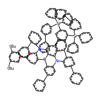 CC(C)(C)c1cc(-c2ccc3c(c2)N(c2ccccc2-c2ccccc2)c2cc(-c4cc([Si](c5ccccc5)(c5ccccc5)c5cccc(-c6ccccc6)c5)cc([Si](c5ccccc5)(c5ccccc5)c5cccc(-c6ccccc6)c5)c4)cc4c2B3c2cc(-c3ccccc3)ccc2N4c2cc(-c3ccccc3)ccc2-c2ccccc2)cc(C(C)(C)C)c1